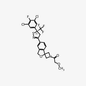 COCC(=O)N1CC2(C1)OCc1cc(C3=NS[C@@](c4cc(Cl)c(F)c(Cl)c4)(C(F)(F)F)C3)ccc12